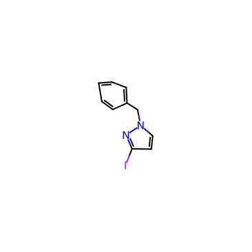 Ic1ccn(Cc2ccccc2)n1